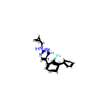 Fc1c(-c2ccccc2)cccc1-c1cnc(NCC2CC2)nc1